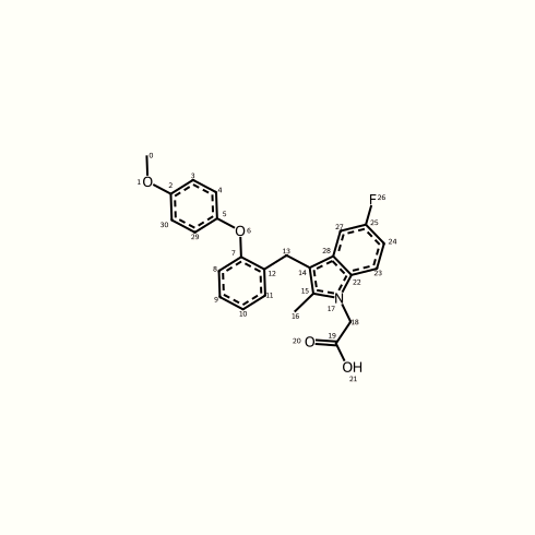 COc1ccc(Oc2ccccc2Cc2c(C)n(CC(=O)O)c3ccc(F)cc23)cc1